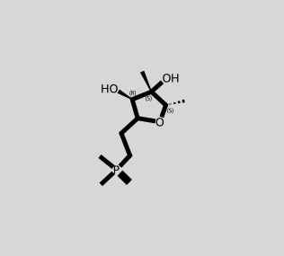 C=P(C)(C)CCC1O[C@@H](C)[C@@](C)(O)[C@@H]1O